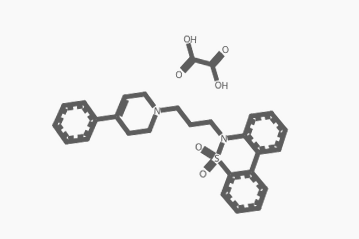 O=C(O)C(=O)O.O=S1(=O)c2ccccc2-c2ccccc2N1CCCN1CC=C(c2ccccc2)CC1